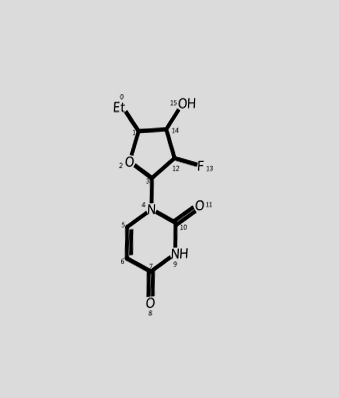 CCC1OC(n2ccc(=O)[nH]c2=O)C(F)C1O